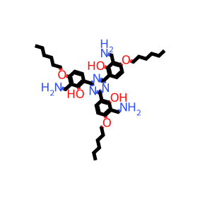 CCCCCCOc1ccc(-c2nc(-c3ccc(OCCCCCC)c(CN)c3O)nc(-c3ccc(OCCCCCC)c(CN)c3O)n2)c(O)c1CN